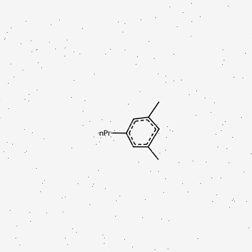 CC[CH]c1cc(C)cc(C)c1